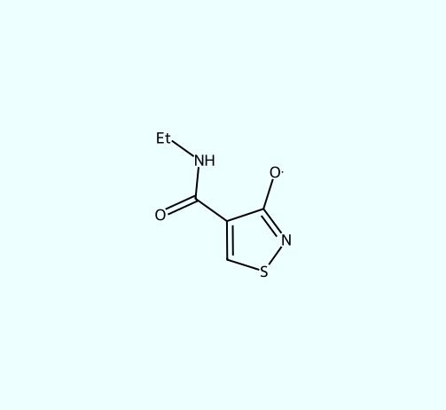 CCNC(=O)c1csnc1[O]